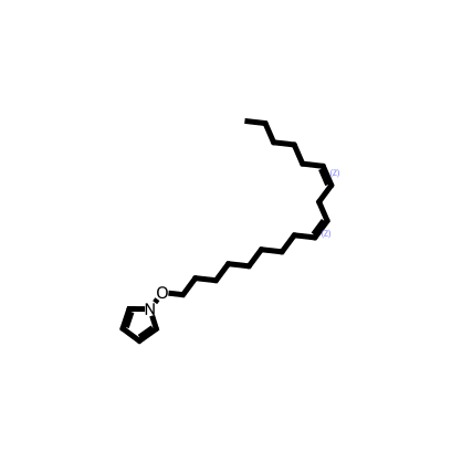 CCCCC/C=C\C/C=C\CCCCCCCCOn1cccc1